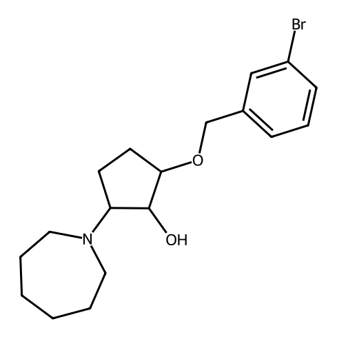 OC1C(OCc2cccc(Br)c2)CCC1N1CCCCCC1